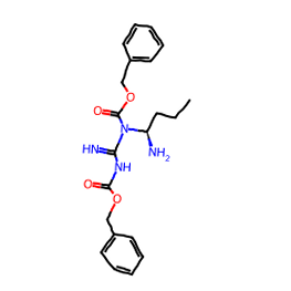 CCC[C@@H](N)N(C(=N)NC(=O)OCc1ccccc1)C(=O)OCc1ccccc1